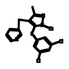 CCn1nc(C)c(Cc2cccnc2)c1Sc1cc(Cl)cc(Cl)c1